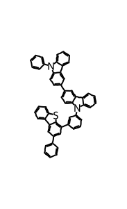 c1ccc(-c2cc(-c3cccc(-n4c5ccccc5c5cc(-c6ccc7c(c6)c6ccccc6n7-c6ccccc6)ccc54)c3)c3sc4ccccc4c3c2)cc1